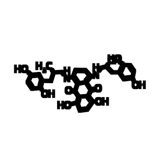 CC(CNc1ccc(NCC(C)Cc2cc(O)ccc2O)c2c1C(=O)c1c(O)ccc(O)c1C2=O)Cc1cc(O)ccc1O